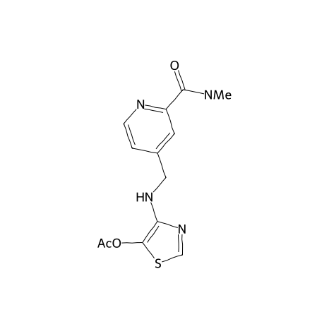 CNC(=O)c1cc(CNc2ncsc2OC(C)=O)ccn1